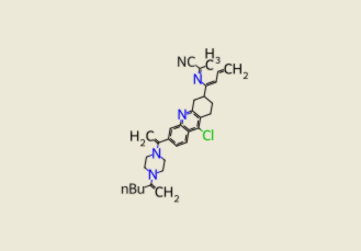 C=C/C=C(\N=C(/C)C#N)C1CCc2c(nc3cc(C(=C)N4CCN(C(=C)CCCC)CC4)ccc3c2Cl)C1